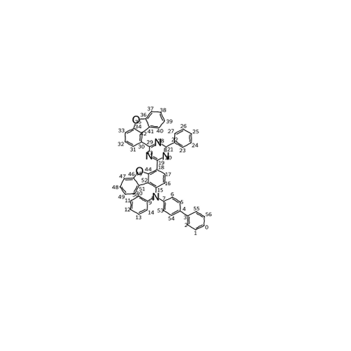 c1ccc(-c2ccc(N(c3ccccc3)c3ccc(-c4nc(-c5ccccc5)nc(-c5cccc6oc7ccccc7c56)n4)c4oc5ccccc5c34)cc2)cc1